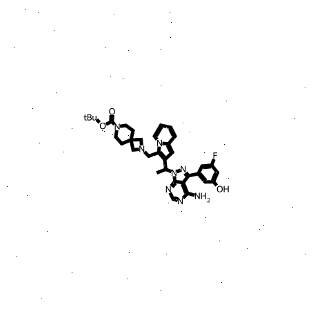 CC(c1cc2ccccn2c1CN1CC2(CCN(C(=O)OC(C)(C)C)CC2)C1)n1nc(-c2cc(O)cc(F)c2)c2c(N)ncnc21